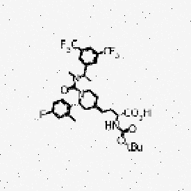 Cc1cc(F)ccc1[C@H]1C/C(=C/C[C@@H](NC(=O)OC(C)(C)C)C(=O)O)CCN1C(=O)N(C)[C@H](C)c1cc(C(F)(F)F)cc(C(F)(F)F)c1